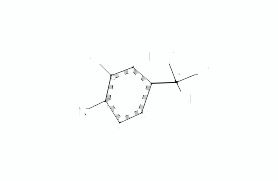 Cc1cc(C(F)(C(F)(F)F)C(F)(F)F)ccc1N=O